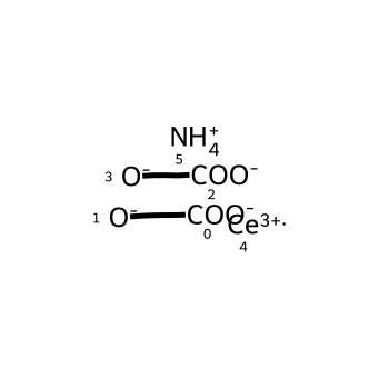 O=C([O-])[O-].O=C([O-])[O-].[Ce+3].[NH4+]